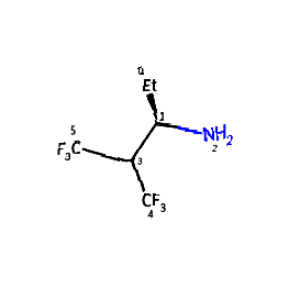 CC[C@@H](N)C(C(F)(F)F)C(F)(F)F